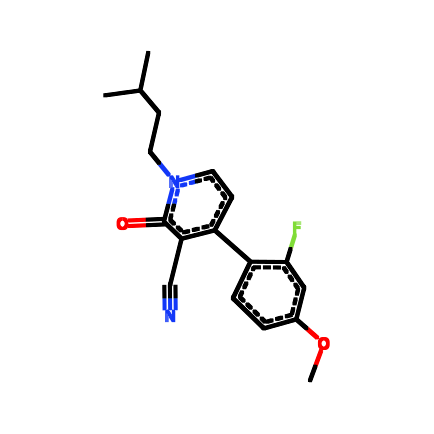 COc1ccc(-c2ccn(CCC(C)C)c(=O)c2C#N)c(F)c1